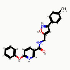 Cc1ccc(-c2cc(CNC(=O)c3ccc(Oc4ccccc4)nc3)on2)cc1